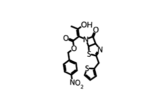 CC(O)=C(C(=O)OCc1ccc([N+](=O)[O-])cc1)N1C(=O)C2N=C(Cc3cccs3)SC21